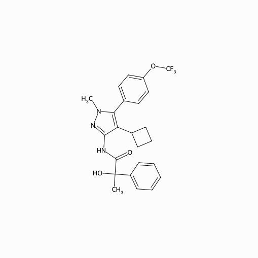 Cn1nc(NC(=O)C(C)(O)c2ccccc2)c(C2CCC2)c1-c1ccc(OC(F)(F)F)cc1